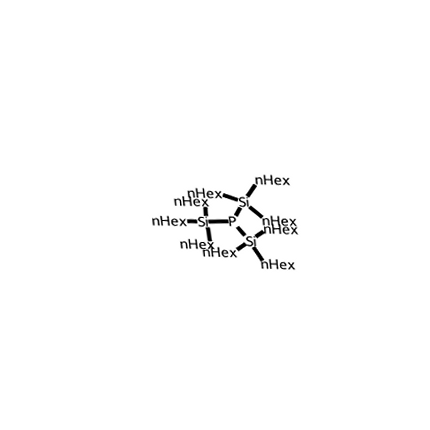 CCCCCC[Si](CCCCCC)(CCCCCC)P([Si](CCCCCC)(CCCCCC)CCCCCC)[Si](CCCCCC)(CCCCCC)CCCCCC